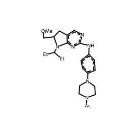 CCC(CC)N1c2nc(Nc3ccc(N4CCN(C(C)=O)CC4)cc3)ncc2CC1COC